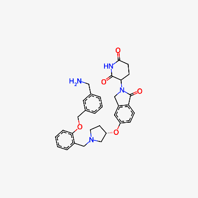 NCc1cccc(COc2ccccc2CN2CC[C@H](Oc3ccc4c(c3)CN(C3CCC(=O)NC3=O)C4=O)C2)c1